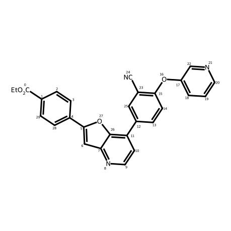 CCOC(=O)c1ccc(-c2cc3nccc(-c4ccc(Oc5cccnc5)c(C#N)c4)c3o2)cc1